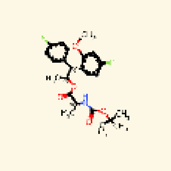 COc1cc(F)ccc1[C@@H](c1ccc(F)cc1)[C@H](C)OC(=O)[C@H](C)NC(=O)OC(C)(C)C